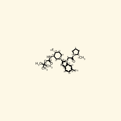 C[C@H]1CCCN1C(=O)Cn1c(N2CC[C@@H](F)[C@H](NC(=O)OC(C)(C)C)C2)nc2ccc(F)cc21